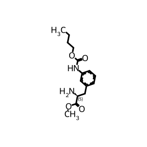 CCCCOC(=O)Nc1cccc(C[C@H](N)C(=O)OC)c1